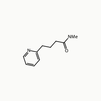 CNC(=O)CCCc1ccccn1